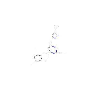 Nc1nc(NCc2c(F)cc(F)cc2F)cc(Nc2cc(C3CC3)[nH]n2)n1